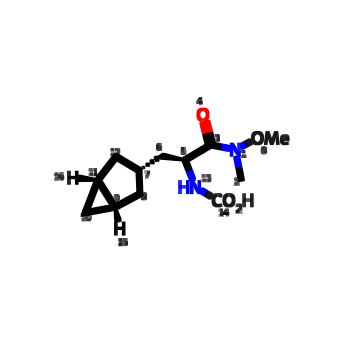 CON(C)C(=O)[C@H](C[C@@H]1C[C@@H]2C[C@@H]2C1)NC(=O)O